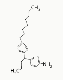 CCCCCCCCc1ccc(C(CCC)c2ccc(N)cc2)cc1